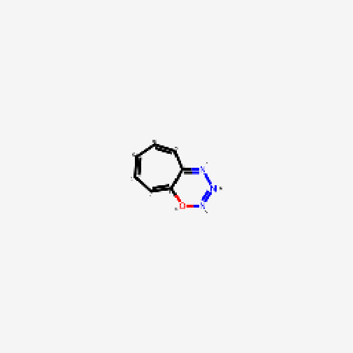 C1=CC=C2ON=NN=C2C=C1